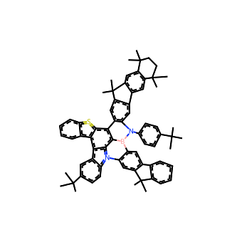 CC(C)(C)c1ccc(N2B3c4cc5c(cc4-n4c6ccc(C(C)(C)C)cc6c6c7c(sc8ccccc87)c(c3c64)-c3cc4c(cc32)-c2cc3c(cc2C4(C)C)C(C)(C)CCC3(C)C)C(C)(C)c2ccccc2-5)cc1